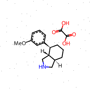 COc1cccc([C@H]2CCC[C@H]3CNC[C@@H]32)c1.O=C(O)C(=O)O